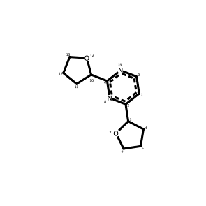 c1cc(C2CCCO2)nc(C2CCCO2)n1